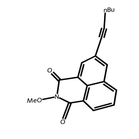 CCCCC#Cc1cc2c3c(cccc3c1)C(=O)N(OC)C2=O